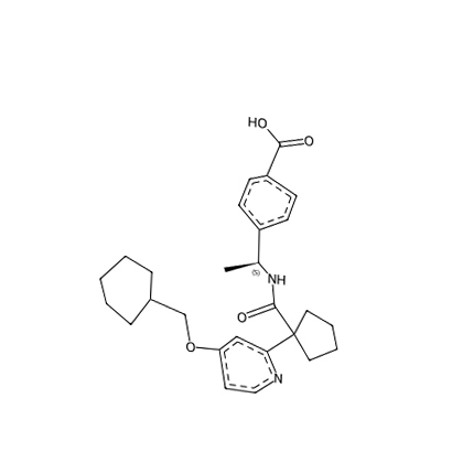 C[C@H](NC(=O)C1(c2cc(OCC3CCCCC3)ccn2)CCCC1)c1ccc(C(=O)O)cc1